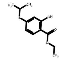 CCOC(=O)c1ccc(SC(C)C)cc1O